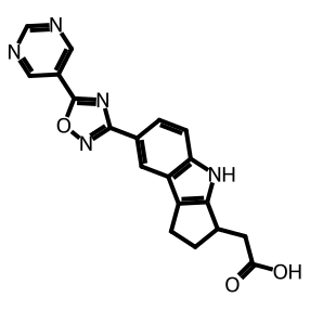 O=C(O)CC1CCc2c1[nH]c1ccc(-c3noc(-c4cncnc4)n3)cc21